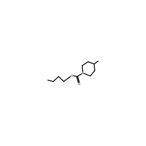 CCCCOC(=O)N1CCC(C)CC1